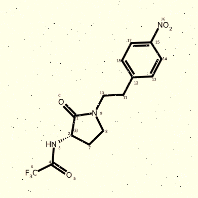 O=C1[C@@H](NC(=O)C(F)(F)F)CCN1CCc1ccc([N+](=O)[O-])cc1